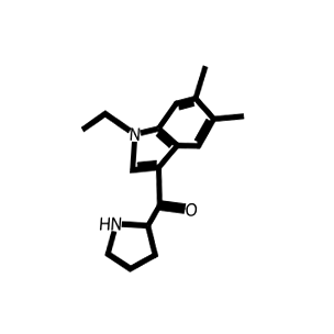 CCn1cc(C(=O)C2CCCN2)c2cc(C)c(C)cc21